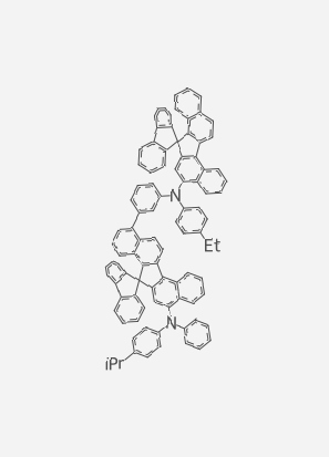 CCc1ccc(N(c2cccc(-c3cccc4c5c(ccc34)-c3c(cc(N(c4ccccc4)c4ccc(C(C)C)cc4)c4ccccc34)C53c4ccccc4-c4ccccc43)c2)c2cc3c(c4ccccc24)-c2ccc4ccccc4c2C32c3ccccc3-c3ccccc32)cc1